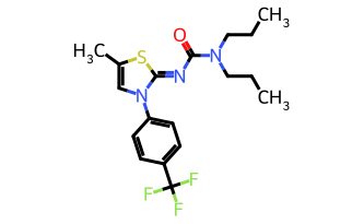 CCCN(CCC)C(=O)/N=c1\sc(C)cn1-c1ccc(C(F)(F)F)cc1